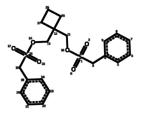 O=S(=O)(Cc1ccccc1)OCC1(COS(=O)(=O)Cc2ccccc2)CCC1